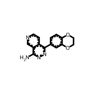 Nc1nnc(-c2ccc3c(c2)OCCO3)c2ccncc12